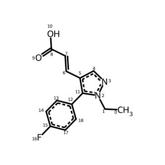 CCn1ncc(C=CC(=O)O)c1-c1ccc(F)cc1